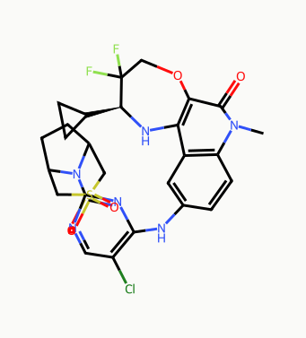 Cn1c(=O)c2c(c3cc(Nc4nc(N5C6CCC5CS(=O)(=O)C6)ncc4Cl)ccc31)N[C@@H](C1CC1)C(F)(F)CO2